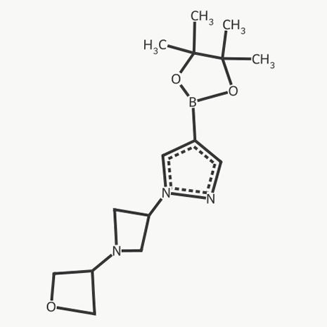 CC1(C)OB(c2cnn(C3CN(C4COC4)C3)c2)OC1(C)C